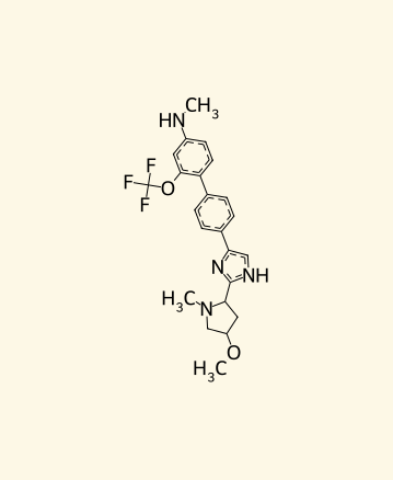 CNc1ccc(-c2ccc(-c3c[nH]c(C4CC(OC)CN4C)n3)cc2)c(OC(F)(F)F)c1